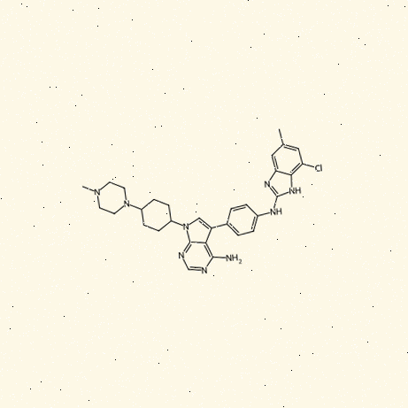 Cc1cc(Cl)c2[nH]c(Nc3ccc(-c4cn(C5CCC(N6CCN(C)CC6)CC5)c5ncnc(N)c45)cc3)nc2c1